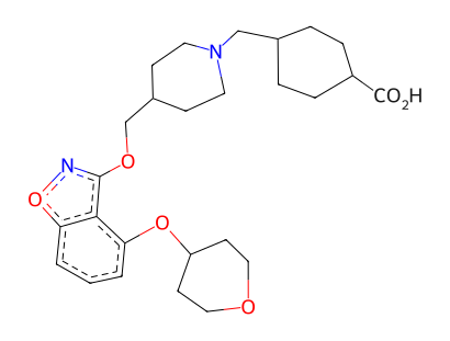 O=C(O)C1CCC(CN2CCC(COc3noc4cccc(OC5CCOCC5)c34)CC2)CC1